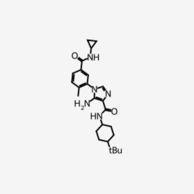 Cc1ccc(C(=O)NC2CC2)cc1-n1cnc(C(=O)NC2CCC(C(C)(C)C)CC2)c1N